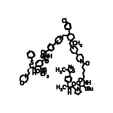 Cc1ncsc1-c1ccc([C@H](C)NC(=O)C2CCCN2C(=O)[C@@H](NC(=O)CCCCC(=O)N2CCC(C3CCN(C[C@]4(C)CCC(c5ccc(Cl)cc5)=C(CN5CCN(c6ccc(C(=O)NS(=O)(=O)c7ccc(N[C@H](CCN8CCCOCC8)CSc8ccccc8)c(S(=O)(=O)C(F)(F)F)c7)cc6)CC5)C4)CC3)CC2)C(C)(C)C)cc1